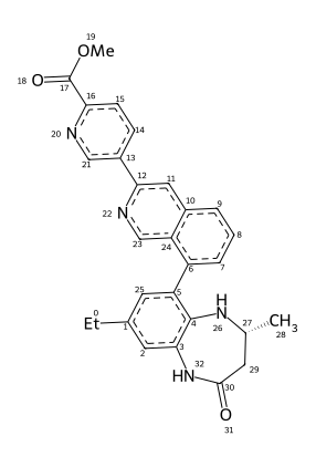 CCc1cc2c(c(-c3cccc4cc(-c5ccc(C(=O)OC)nc5)ncc34)c1)N[C@H](C)CC(=O)N2